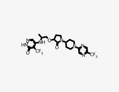 CC(COC1CCN(C2CCN(c3cnc(C(F)(F)F)cn3)CC2)C1=O)Nc1cn[nH]c(=O)c1C(F)(F)F